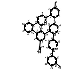 Cc1cccc(-c2ccc(-c3ccccc3-c3cc(C#N)cc(-c4ccccc4-c4ccc(-c5cccc(C)c5)nc4)c3)cn2)c1